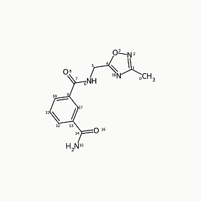 Cc1noc(CNC(=O)c2cccc(C(N)=O)c2)n1